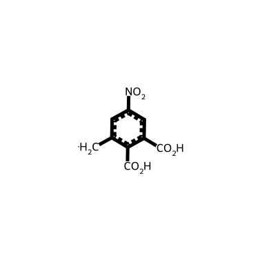 [CH2]c1cc([N+](=O)[O-])cc(C(=O)O)c1C(=O)O